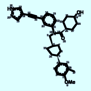 COc1ccc([C@H]2CC[C@H](CN(c3cccc(C#Cc4cn[nH]c4)c3)C(=O)[C@H]3CC[C@H](O)CC3)CC2)cc1C